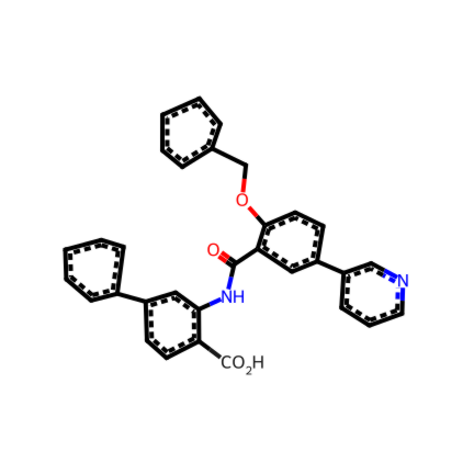 O=C(O)c1ccc(-c2ccccc2)cc1NC(=O)c1cc(-c2cccnc2)ccc1OCc1ccccc1